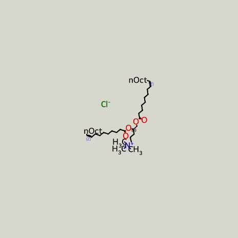 CCCCCCCC/C=C\CCCCCCCC(=O)OC[C@@H](CCC[N+](C)(C)C)OC(=O)CCCCCCC/C=C\CCCCCCCC.[Cl-]